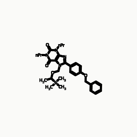 CCCn1c(=O)c2c(nc(-c3ccc(OCc4ccccc4)cc3)n2COC(C)[Si](C)(C)C)n(CCC)c1=O